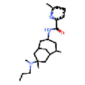 CCCN(C)C1(C)CC2CC(NC(=O)c3cccc(C)n3)CC(C)C(C2)C1